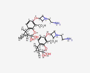 NCCN1CC(Oc2ccc3c(c2C(=O)O)O[B-](O)(O)[C@@H]2C[C@H]32)C1.NCCN1CC(Oc2ccc3c(c2C(=O)O)O[B-](O)(O)[C@@H]2C[C@H]32)C1.[Na+].[Na+]